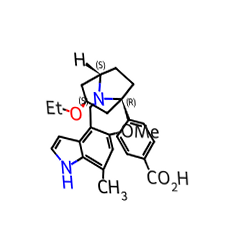 CCO[C@H]1C[C@@H]2CC[C@](c3ccc(C(=O)O)cc3)(C1)N2Cc1c(OC)cc(C)c2[nH]ccc12